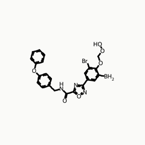 Bc1cc(-c2noc(C(=O)NCc3ccc(Oc4ccccc4)cc3)n2)cc(Br)c1OCOO